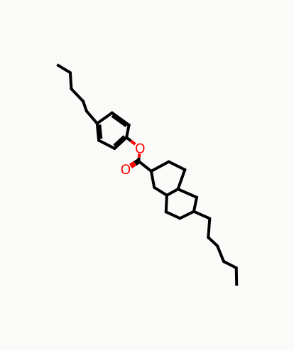 CCCCCCC1CCC2CC(C(=O)Oc3ccc(CCCCC)cc3)CCC2C1